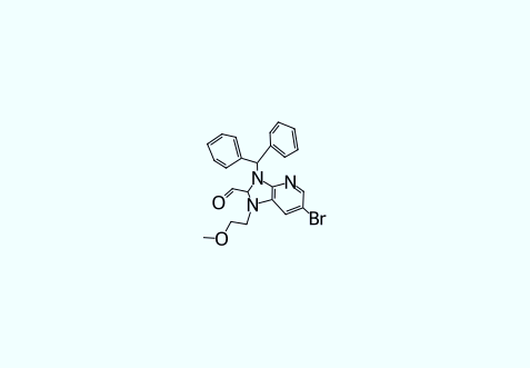 COCCN1c2cc(Br)cnc2N(C(c2ccccc2)c2ccccc2)C1C=O